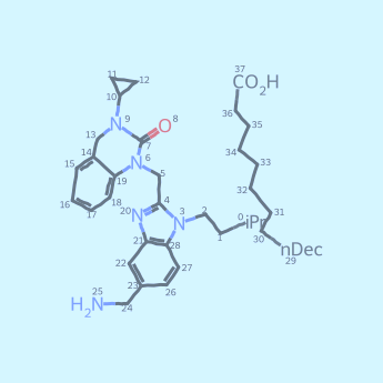 CC(C)CCn1c(CN2C(=O)N(C3CC3)Cc3ccccc32)nc2cc(CN)ccc21.CCCCCCCCCCCCCCCCCC(=O)O